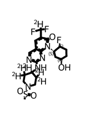 [2H]C(F)(F)c1cc2cnc(NC3([2H])C([2H])([2H])CN(S(C)(=O)=O)CC3([2H])[2H])nc2n([C@H]2C[C@H](O)CC[C@@H]2F)c1=O